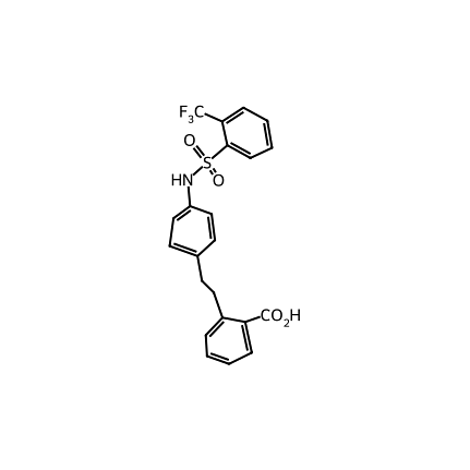 O=C(O)c1ccccc1CCc1ccc(NS(=O)(=O)c2ccccc2C(F)(F)F)cc1